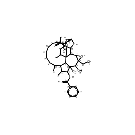 C=C(C)C12CC(C)C34OC5(OC1C3C1OC1(CO)C(O)C1(O)C(OC(=O)c3ccccc3)C(C)C(C(C)CCCCCCC5O)C14)O2